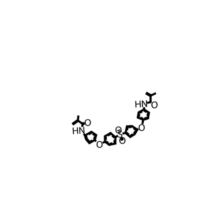 C=C(C)C(=O)Nc1ccc(Oc2ccc(S(=O)(=O)c3ccc(Oc4ccc(NC(=O)C(=C)C)cc4)cc3)cc2)cc1